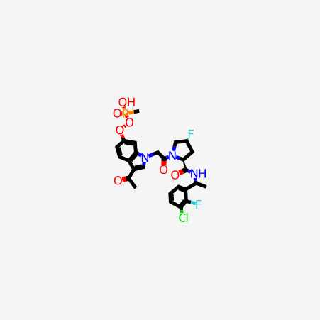 CC(=O)c1cn(CC(=O)N2C[C@H](F)C[C@H]2C(=O)NC(C)c2cccc(Cl)c2F)c2cc(OOP(C)(=O)O)ccc12